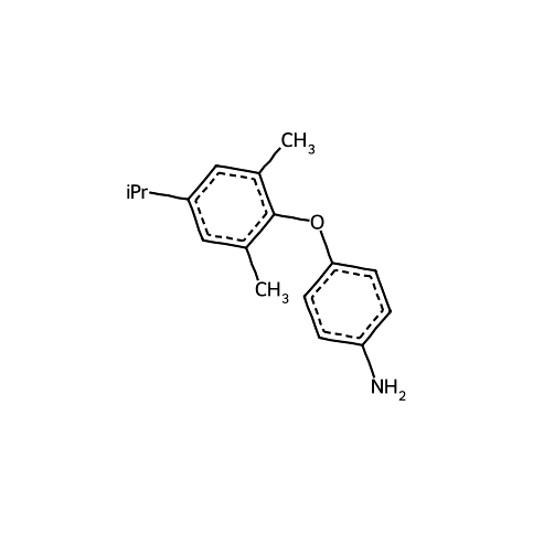 Cc1cc(C(C)C)cc(C)c1Oc1ccc(N)cc1